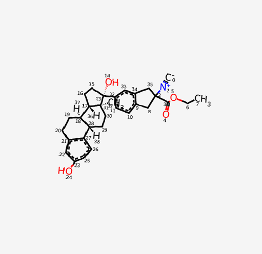 [C-]#[N+]C1(C(=O)OCC)Cc2ccc([C@]3(O)CC[C@H]4[C@@H]5CCc6cc(O)ccc6[C@H]5CC[C@@]43C)cc2C1